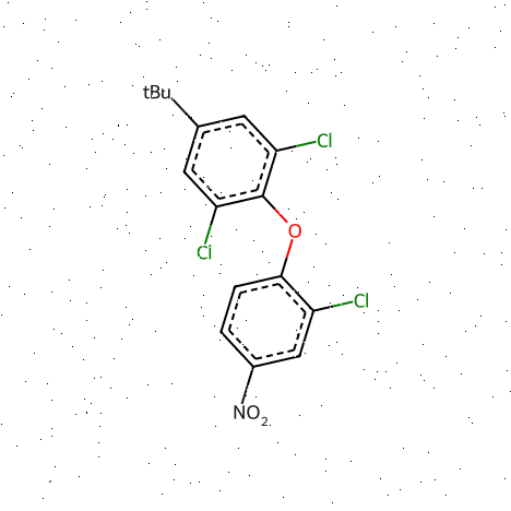 CC(C)(C)c1cc(Cl)c(Oc2ccc([N+](=O)[O-])cc2Cl)c(Cl)c1